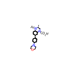 CC(=O)N1c2ccc(-c3ccc(N4CCOCC4)cc3)cc2N(C(=O)O)C[C@@H]1C